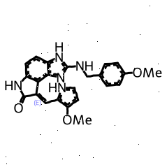 COc1ccc(CNc2nc3c4c(ccc3[nH]2)NC(=O)/C4=C/c2[nH]ccc2OC)cc1